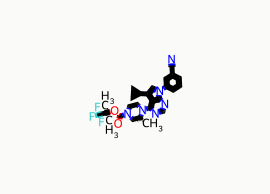 C[C@H]1CN(C(=O)OC(C)(C)C(F)(F)F)CCN1c1ncnc2c1c(C1CC1)cn2-c1cccc(C#N)c1